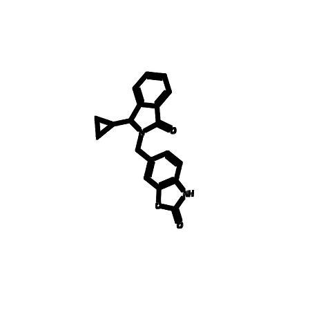 O=C1c2ccccc2C(C2CC2)N1Cc1ccc2[nH]c(=O)oc2c1